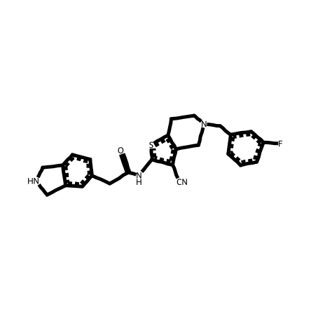 N#Cc1c(NC(=O)Cc2ccc3c(c2)CNC3)sc2c1CN(Cc1cccc(F)c1)CC2